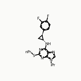 CCCSc1nc(N[C@@H]2C[C@H]2c2ccc(F)c(F)c2)c2ncn(C(C)C)c2n1